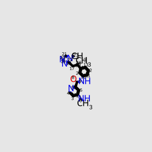 CNc1ccnc(C(=O)Nc2cccc([C@H](C)Cc3nncn3C)c2)c1